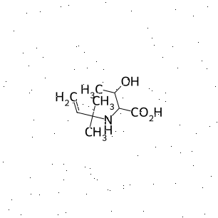 C=CC(C)(C)NC(C(=O)O)C(C)O